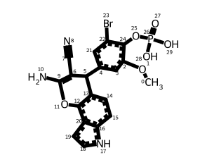 COc1cc(C2C(C#N)=C(N)Oc3c2ccc2[nH]ccc32)cc(Br)c1OP(=O)(O)O